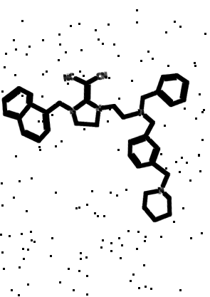 N#CC(C#N)=C1N(CCN(Cc2ccccc2)Cc2cccc(CN3CCCCC3)c2)CCN1Cc1cccc2ccccc12